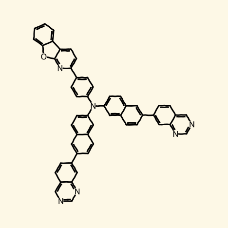 c1ccc2c(c1)oc1nc(-c3ccc(N(c4ccc5cc(-c6ccc7cncnc7c6)ccc5c4)c4ccc5cc(-c6ccc7cncnc7c6)ccc5c4)cc3)ccc12